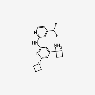 NC1(c2cc(Nc3cc(C(F)F)ccn3)nc(N3CCC3)c2)CCC1